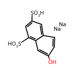 O=S(=O)(O)c1cc(S(=O)(=O)O)c2cc(O)ccc2c1.[Na].[Na]